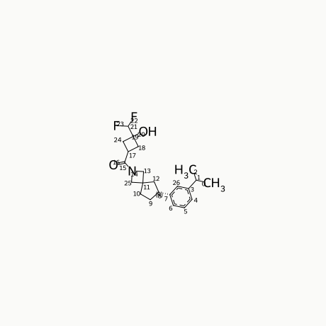 CC(C)c1cccc([C@@H]2CCC3(C2)CN(C(=O)C2CC(O)(C(F)F)C2)C3)c1